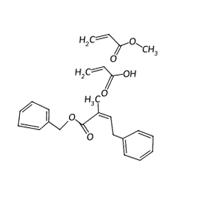 C=CC(=O)O.C=CC(=O)OC.CC(=CCc1ccccc1)C(=O)OCc1ccccc1